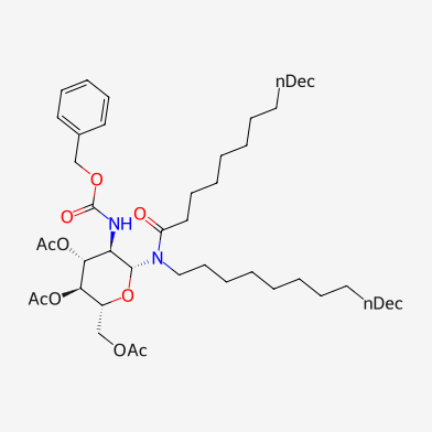 CCCCCCCCCCCCCCCCCCN(C(=O)CCCCCCCCCCCCCCCCC)[C@@H]1O[C@H](COC(C)=O)[C@@H](OC(C)=O)[C@H](OC(C)=O)[C@H]1NC(=O)OCc1ccccc1